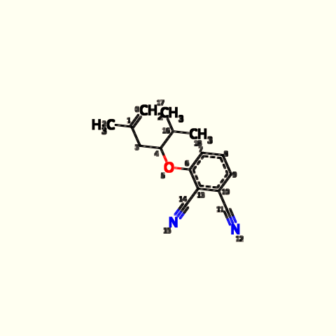 C=C(C)CC(Oc1cccc(C#N)c1C#N)C(C)C